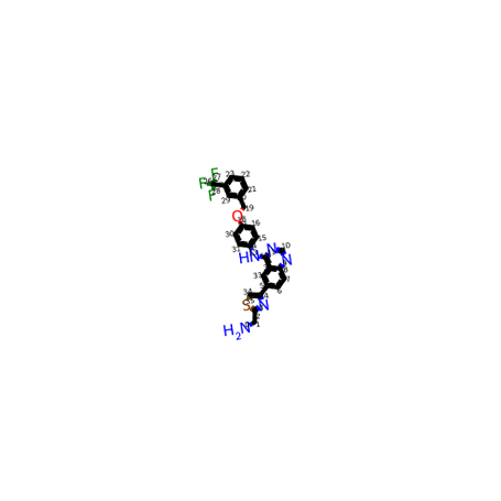 NCc1nc(-c2ccc3ncnc(Nc4ccc(OCc5cccc(C(F)(F)F)c5)cc4)c3c2)cs1